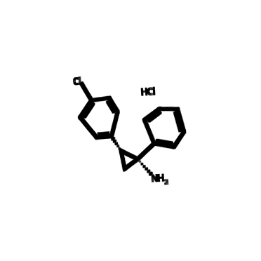 Cl.N[C@]1(c2ccccc2)C[C@@H]1c1ccc(Cl)cc1